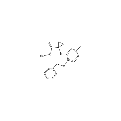 Cc1ccc(OCc2ccccc2)c(OC2(C(=O)OC(C)(C)C)CC2)c1